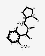 COc1cccc(OC)c1C(C)N(C)CC1CCCN1C